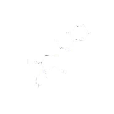 C=C(COC(=O)Nc1ccccc1)[N+]([O-])(CC)CC